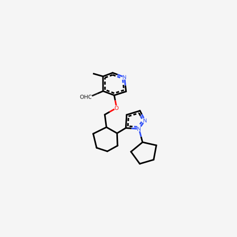 Cc1cncc(OCC2CCCCC2c2ccnn2C2CCCC2)c1C=O